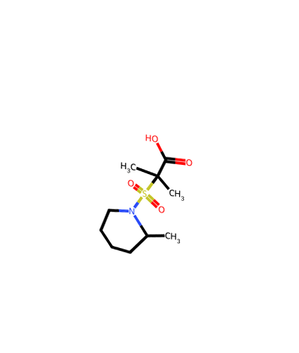 CC1CCCCN1S(=O)(=O)C(C)(C)C(=O)O